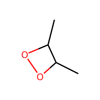 CC1OOC1C